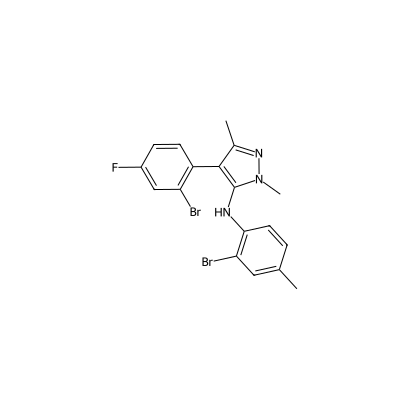 Cc1ccc(Nc2c(-c3ccc(F)cc3Br)c(C)nn2C)c(Br)c1